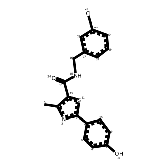 Cc1nc(-c2ccc(O)cc2)sc1C(=O)NCc1cccc(Cl)c1